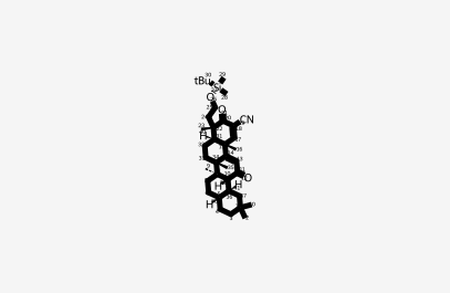 CC1(C)CC[C@H]2CC[C@]3(C)[C@H](C(=O)C=C4[C@@]5(C)C=C(C#N)C(=O)[C@@](C)(CCO[Si](C)(C)C(C)(C)C)[C@@H]5CC[C@]43C)[C@H]2C1